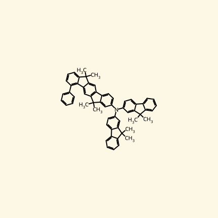 CC1(C)c2ccccc2-c2ccc(N(c3ccc4c(c3)C(C)(C)c3ccccc3-4)c3ccc4c(c3)C(C)(C)c3cc5c(cc3-4)C(C)(C)c3cccc(-c4ccccc4)c3-5)cc21